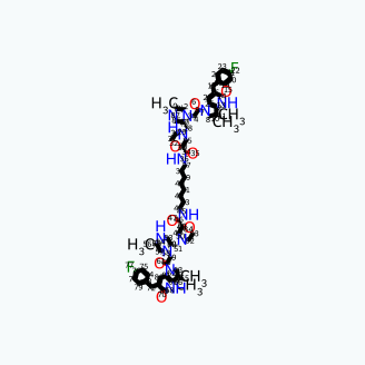 C[C@@H]1CN(CC(=O)N2CC(C)(C)c3[nH]c(=O)c(Cc4ccc(F)cc4)cc32)[C@@H](CN2CCO[C@H](C(=O)NCCCCCCCCNC(=O)[C@@H]3CN(C[C@H]4CN[C@H](C)CN4CC(=O)N4CC(C)(C)c5[nH]c(=O)c(Cc6ccc(F)cc6)cc54)CCO3)C2)CN1